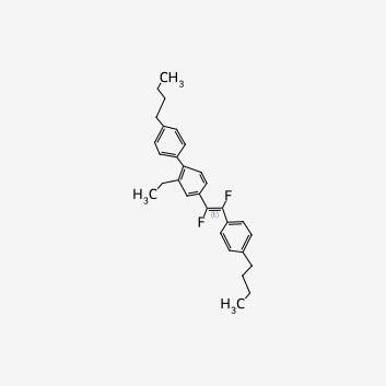 CCCCc1ccc(/C(F)=C(\F)c2ccc(-c3ccc(CCCC)cc3)c(CC)c2)cc1